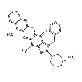 Cc1nc(Cn2c(=O)c3c(nc(N4CCC[C@@H](N)C4)n3Cc3ccccc3)n(C)c2=O)nc2ccccc12